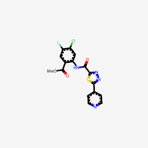 COC(=O)c1cc(F)c(Cl)cc1NC(=O)c1nnc(-c2ccncc2)s1